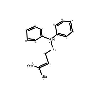 CC(C)(C)C(C=O)=CCO[SiH](c1ccccc1)c1ccccc1